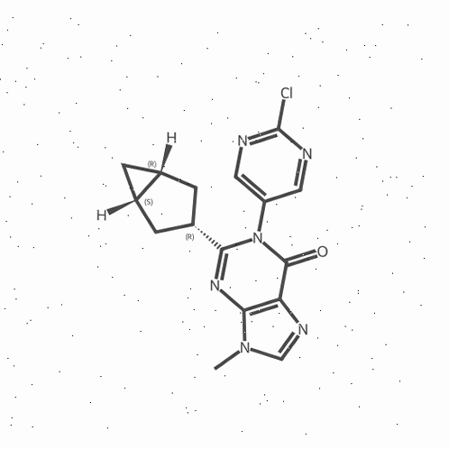 Cn1cnc2c(=O)n(-c3cnc(Cl)nc3)c([C@@H]3C[C@@H]4C[C@@H]4C3)nc21